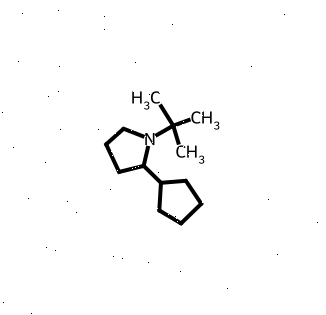 CC(C)(C)N1CCCC1C1CCCC1